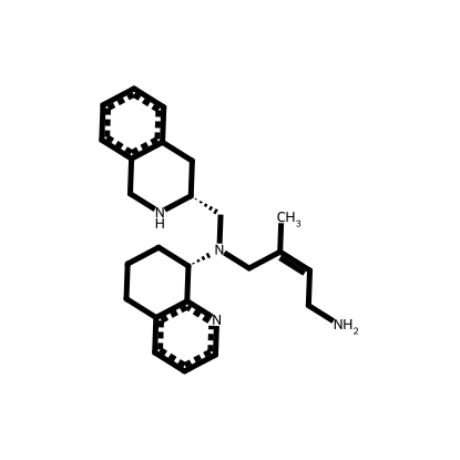 C/C(=C/CN)CN(C[C@H]1Cc2ccccc2CN1)[C@H]1CCCc2cccnc21